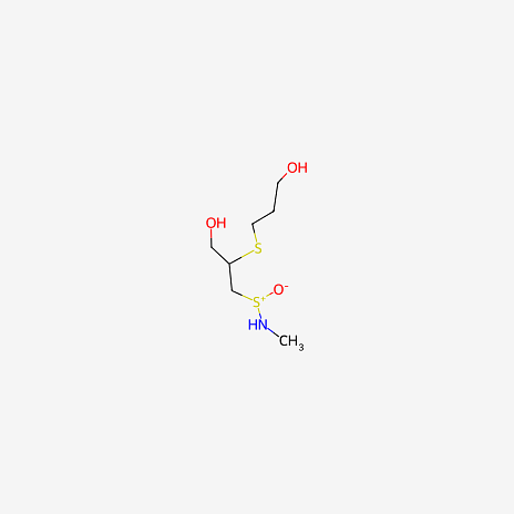 CN[S+]([O-])CC(CO)SCCCO